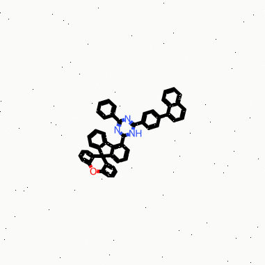 c1ccc(C2=NC(c3cccc4c3-c3ccccc3C43c4ccccc4Oc4ccccc43)NC(c3ccc(-c4cccc5ccccc45)cc3)=N2)cc1